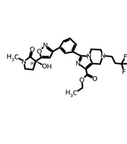 CCOC(=O)c1nc(-c2cccc(-c3cc([C@]4(O)CCN(C)C4=O)on3)c2)n2c1CN(CCC(F)(F)F)CC2